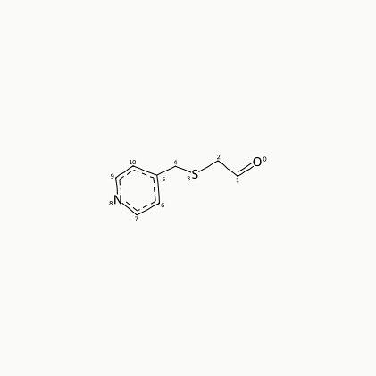 O=CCSCc1ccncc1